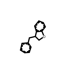 c1ccc(CC2COc3ccccc32)cc1